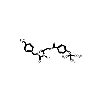 CCn1c(COC(=O)c2ccc(OC(C)(C)C(=O)O)cc2)nn(Cc2ccc(C(F)(F)F)cc2)c1=O